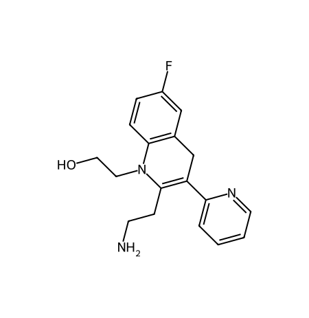 NCCC1=C(c2ccccn2)Cc2cc(F)ccc2N1CCO